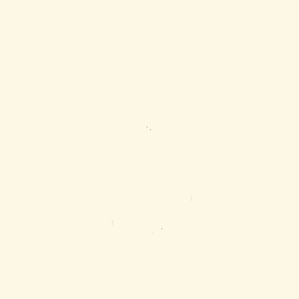 CC(=O)Oc1c(Cl)cc(C(=O)N2CCOc3ccccc32)cc1Cl